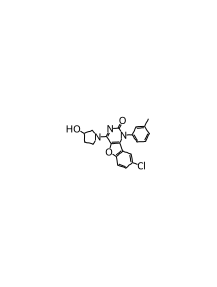 Cc1cccc(-n2c(=O)nc(N3CCC(O)C3)c3oc4ccc(Cl)cc4c32)c1